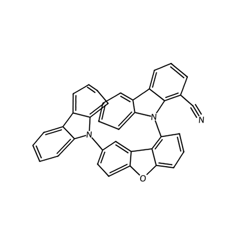 N#Cc1cccc2c3ccccc3n(-c3cccc4oc5ccc(-n6c7ccccc7c7ccccc76)cc5c34)c12